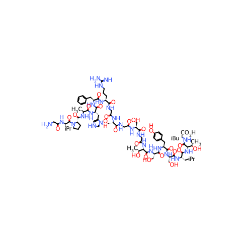 CC[C@H](C)[C@H](NC(=O)[C@@H](NC(=O)[C@H](CC(C)C)NC(=O)[C@H](CO)NC(=O)[C@H](Cc1ccc(O)cc1)NC(=O)[C@H](CO)NC(=O)[C@@H](NC(=O)CNC(=O)[C@H](CO)NC(=O)CNC(=O)[C@H](CO)NC(=O)CNC(=O)[C@H](CCCNC(=N)N)NC(=O)[C@H](Cc1ccccc1)NC(=O)[C@H](Cc1c[nH]cn1)NC(=O)[C@H](C)NC(=O)[C@@H]1CCCN1C(=O)[C@@H](NC(=O)CN)C(C)C)[C@@H](C)O)[C@@H](C)O)C(=O)O